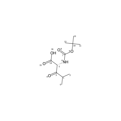 CC(C)C(=O)[C@@H](NC(=O)OC(C)(C)C)C(=O)O